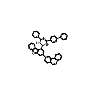 c1ccc(-c2ccc(C3=NC(c4ccccc4)NC(c4cc(-c5ccc6ccc7ccccc7c6c5)cc5oc6ccccc6c45)N3)cc2)cc1